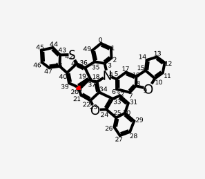 c1ccc(N(c2ccc3oc4ccccc4c3c2)c2cccc3oc4c5ccccc5ccc4c23)c(-c2cccc3c2sc2ccccc23)c1